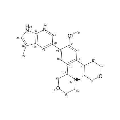 COc1cc(C2CCOCC2)c(C2COCCN2)cc1-c1cnc2[nH]cc(C)c2c1